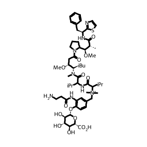 CC[C@H](C)[C@@H]([C@@H](CC(=O)N1CCCC1[C@H](OC)[C@@H](C)C(=O)N[C@@H](Cc1ccccc1)c1nccs1)OC)N(C)C(=O)C(NC(=O)C(C(C)C)[N+](C)(C)Cc1ccc(O[C@@H]2O[C@H](C(=O)O)[C@@H](O)[C@H](O)[C@H]2O)c(NC(=O)CCN)c1)C(C)C